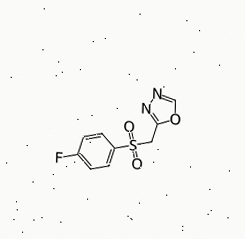 O=S(=O)(Cc1nnco1)c1ccc(F)cc1